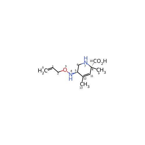 C=CCON[C@H]1CN[C@](C)(C(=O)O)C=C1C